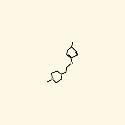 CC1C=CC(OCCN2CCN(C)CC2)=CC1